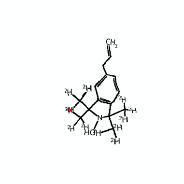 [2H]C([2H])([2H])C1(C([2H])([2H])[2H])c2ccc(CC=C)cc2C(C([2H])([2H])[2H])(C([2H])([2H])[2H])N1O